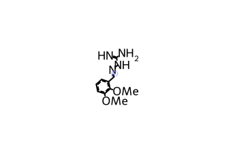 COc1cccc(/C=N/NC(=N)N)c1OC